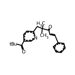 CC(C)(C)C(=O)c1ccc(CC(C)(C)C(=O)/C=C/c2ccccc2)nc1